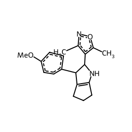 COc1ccc(C2C3=C(CCC3)NC2c2c(C)noc2C)cc1